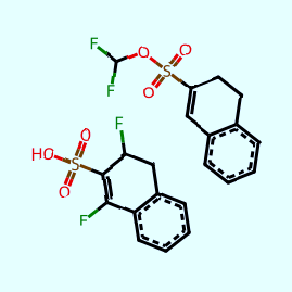 O=S(=O)(O)C1=C(F)c2ccccc2CC1F.O=S(=O)(OC(F)F)C1=Cc2ccccc2CC1